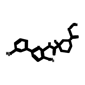 CC(C)(C)OC(=O)N1CCCC(F)(C(=O)Nc2nc(-c3cccc(N)c3)ccc2N)C1